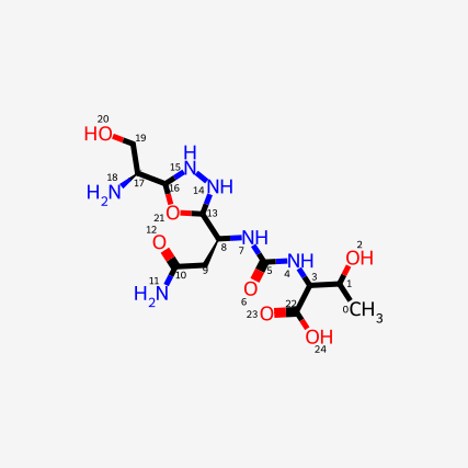 CC(O)C(NC(=O)N[C@@H](CC(N)=O)C1NNC([C@@H](N)CO)O1)C(=O)O